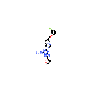 Nc1nc(N2CCN3CC(COc4cccc(F)c4)CCC3C2)nc2nc(-c3ccco3)nn12